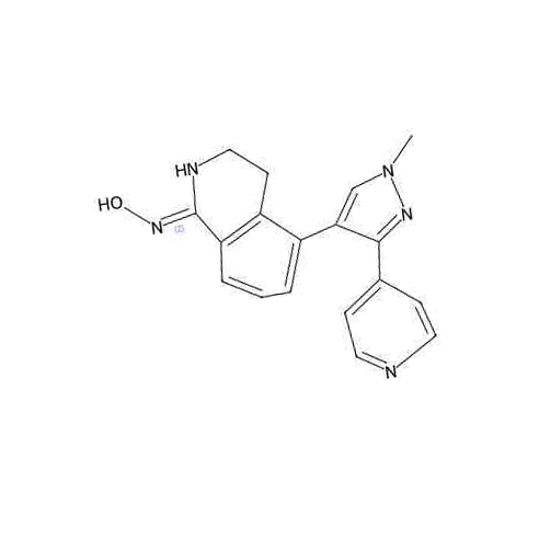 Cn1cc(-c2cccc3c2CCN/C3=N\O)c(-c2ccncc2)n1